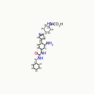 Nc1cc(NC(=O)NCc2ccccc2)ccc1-c1cnc([C@H]2CC[C@H](NC(=O)O)CC2)s1